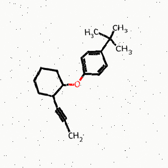 [CH2]C#CC1CCCCC1Oc1ccc(C(C)(C)C)cc1